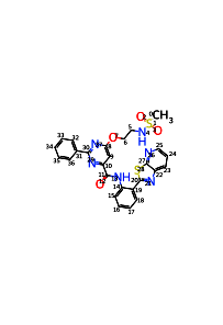 CS(=O)(=O)NCCOc1cc(C(=O)Nc2ccccc2-c2nc3cccnc3s2)nc(-c2ccccc2)n1